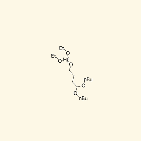 CCCCOC(CCC[O][Hf]([O]CC)[O]CC)OCCCC